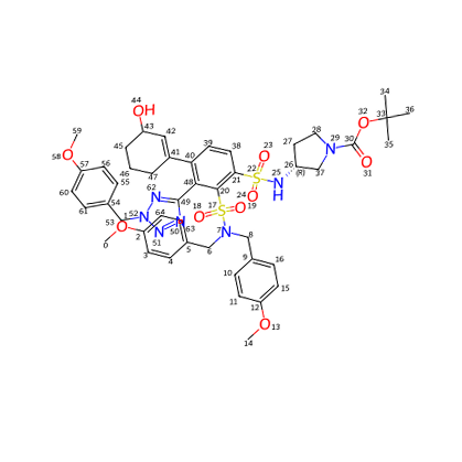 COc1ccc(CN(Cc2ccc(OC)cc2)S(=O)(=O)c2c(S(=O)(=O)N[C@@H]3CCN(C(=O)OC(C)(C)C)C3)ccc(C3=CC(O)CCC3)c2-c2nnn(Cc3ccc(OC)cc3)n2)cc1